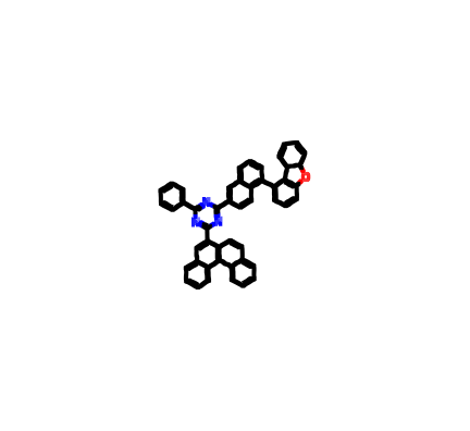 C1=CC2Oc3cccc(-c4cccc5cc(-c6nc(-c7ccccc7)nc(-c7cc8ccccc8c8c7ccc7ccccc78)n6)ccc45)c3C2C=C1